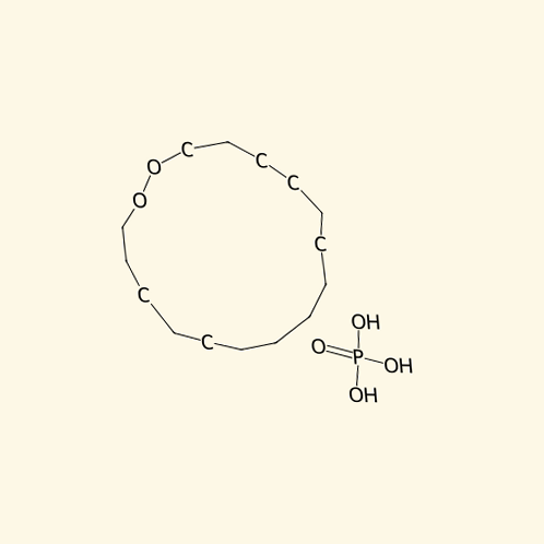 C1CCCCCCCOOCCCCCCC1.O=P(O)(O)O